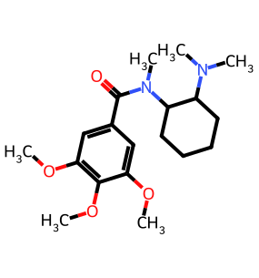 COc1cc(C(=O)N(C)C2CCCCC2N(C)C)cc(OC)c1OC